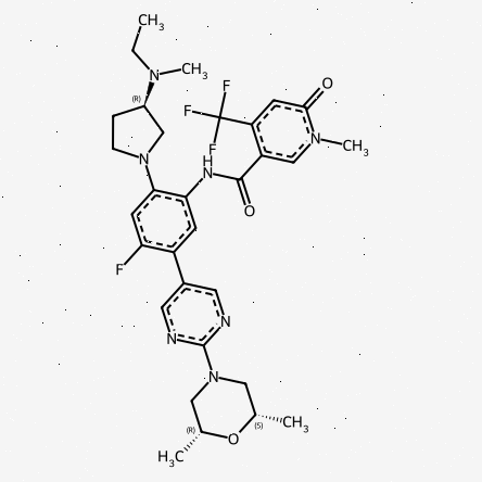 CCN(C)[C@@H]1CCN(c2cc(F)c(-c3cnc(N4C[C@@H](C)O[C@@H](C)C4)nc3)cc2NC(=O)c2cn(C)c(=O)cc2C(F)(F)F)C1